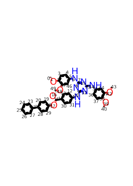 COc1ccc(Nc2nc(Nc3ccc(C(=O)Oc4ccc(-c5ccccc5)cc4)cc3)nc(Nc3ccc(OC)c(OC)c3)n2)cc1OC